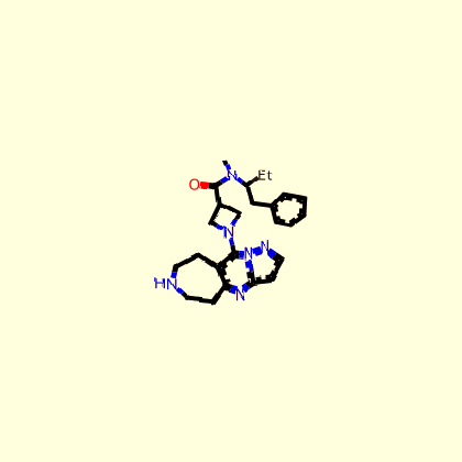 CCC(Cc1ccccc1)N(C)C(=O)C1CN(c2c3c(nc4ccnn24)CCNCC3)C1